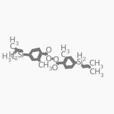 CC(C)=C[SiH2]c1ccc(C(=O)OOC(=O)c2ccc([SiH2]C=C(C)C)cc2C)c(C)c1